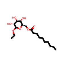 CCCCCCCCCC(=O)OC[C@H]1OC(OCC)[C@H](O)[C@@H](O)[C@H]1O